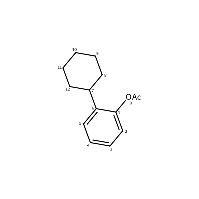 CC(=O)Oc1ccccc1C1CCCCC1